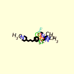 Cc1nn(C)c(C)c1N(CC(F)F)S(=O)(=O)c1c(Cl)cc(CCCC2CCN(C)CC2)cc1Cl